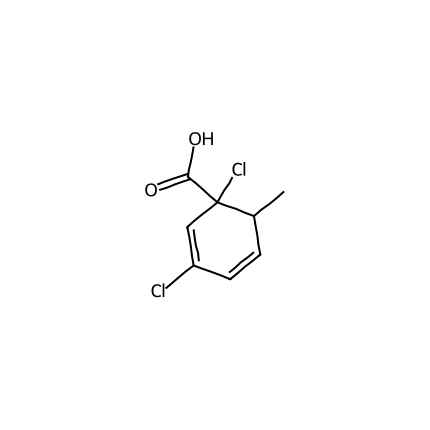 CC1C=CC(Cl)=CC1(Cl)C(=O)O